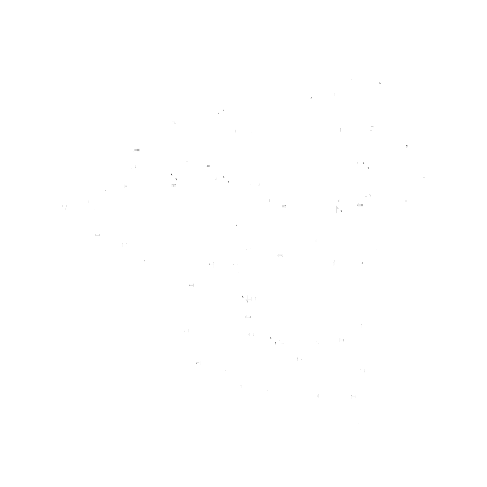 Cc1cc(C)cc(-c2ccc3ccc4ccc(-c5cc(-c6ccc7ccc8ccc(-c9cc(C)cc(C)c9)nc8c7n6)cc(-c6ccc7ccc8ccc(-c9cc(C)cc(C)c9)nc8c7n6)c5)nc4c3n2)c1